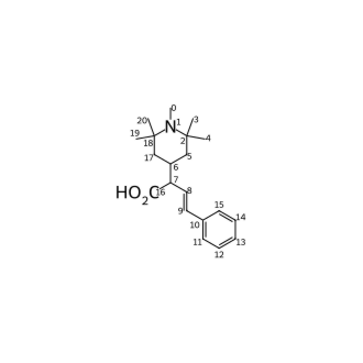 CN1C(C)(C)CC(C(C=Cc2ccccc2)C(=O)O)CC1(C)C